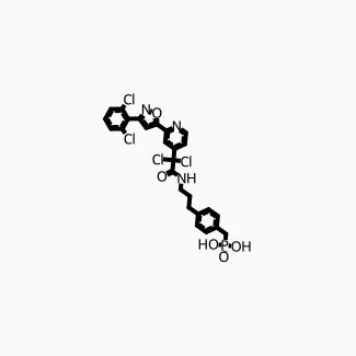 O=C(NCCCc1ccc(CP(=O)(O)O)cc1)C(Cl)(Cl)c1ccnc(-c2cc(-c3c(Cl)cccc3Cl)no2)c1